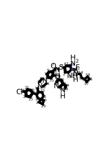 N=C1C=C(SNC(=O)c2ccc(N3CCN(CC4=C(c5ccc(Cl)cc5)CC5(CCC5)CC4)CC3)cc2Oc2cnc3[nH]ccc3c2)C=C(N)/C1=C(\F)NCCC1CCC1